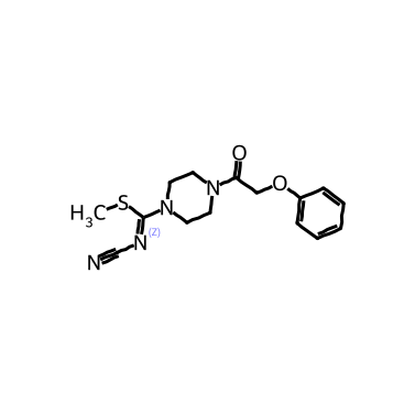 CS/C(=N\C#N)N1CCN(C(=O)COc2ccccc2)CC1